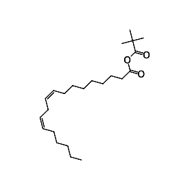 CCCCC/C=C\C/C=C\CCCCCCCC(=O)OC(=O)C(C)(C)C